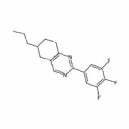 CCCC1CCc2nc(-c3cc(F)c(F)c(F)c3)ncc2C1